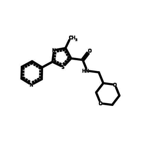 Cc1nc(-c2cccnc2)sc1C(=O)NCC1COCCO1